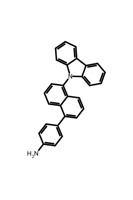 Nc1ccc(-c2cccc3c(-n4c5ccccc5c5ccccc54)cccc23)cc1